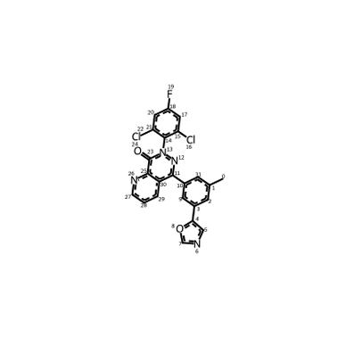 Cc1cc(-c2cnco2)cc(-c2nn(-c3c(Cl)cc(F)cc3Cl)c(=O)c3ncccc23)c1